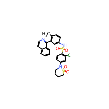 Cc1ccc(NS(=O)(=O)c2ccc(N3CCCCS3(=O)=O)cc2Cl)cc1-c1nccc2ccccc12